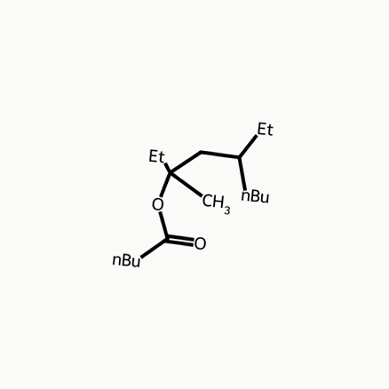 CCCCC(=O)OC(C)(CC)CC(CC)CCCC